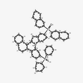 O=P(c1ccc2ccccc2c1)(c1ccc2ccccc2c1)c1ccc2c(c1)nc1c3c4ccccc4ccc3c3ccc(P(=S)(c4ccccc4)c4ccncc4)cc3n21